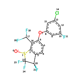 [O-][S+]1c2c(ccc(Oc3cc(F)cc(Cl)c3)c2C(F)F)[C@@H](F)C1(F)F